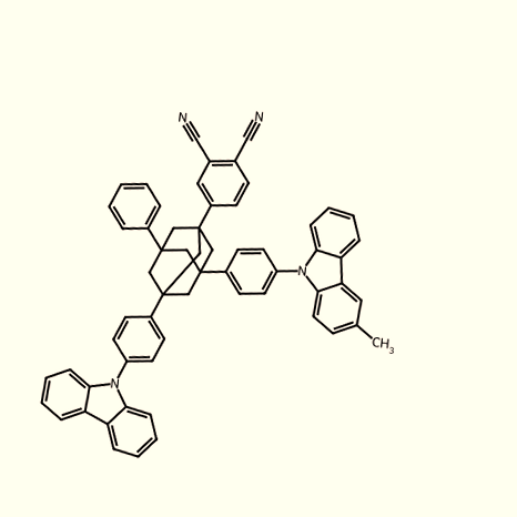 Cc1ccc2c(c1)c1ccccc1n2-c1ccc(C23CC4(c5ccccc5)CC(c5ccc(-n6c7ccccc7c7ccccc76)cc5)(C2)CC(c2ccc(C#N)c(C#N)c2)(C4)C3)cc1